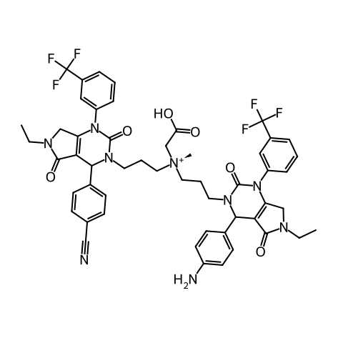 CCN1CC2=C(C1=O)C(c1ccc(N)cc1)N(CCC[N@+](C)(CCCN1C(=O)N(c3cccc(C(F)(F)F)c3)C3=C(C(=O)N(CC)C3)C1c1ccc(C#N)cc1)CC(=O)O)C(=O)N2c1cccc(C(F)(F)F)c1